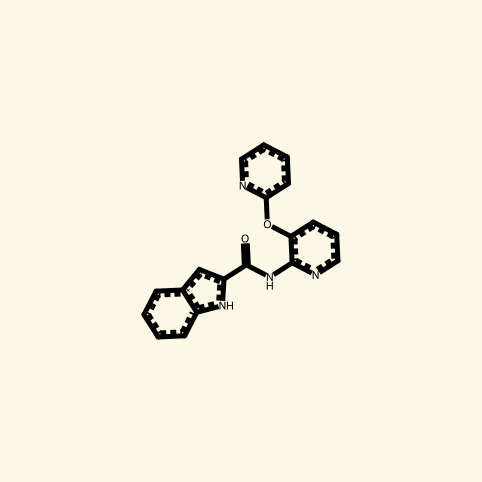 O=C(Nc1ncccc1Oc1ccccn1)c1cc2ccccc2[nH]1